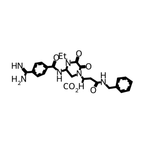 CCN1C(=O)C(=O)N(C(CC(=O)NCc2ccccc2)C(=O)O)CC1NC(=O)c1ccc(C(=N)N)cc1